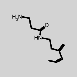 C=C(/C=C\C)CCNC(=O)CCN